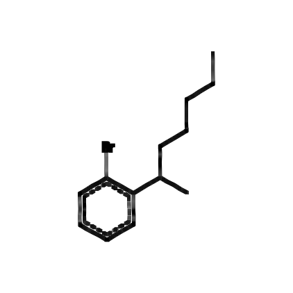 CCCCCC(C)c1ccccc1Br